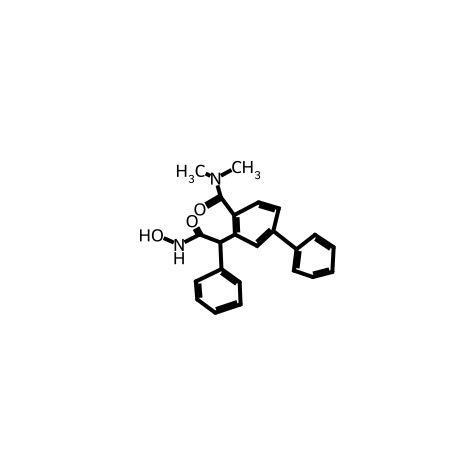 CN(C)C(=O)c1ccc(-c2ccccc2)cc1C(C(=O)NO)c1ccccc1